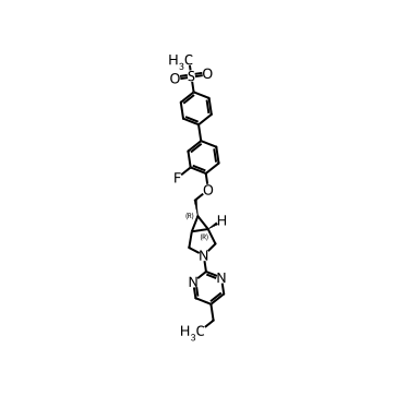 CCc1cnc(N2CC3[C@@H](COc4ccc(-c5ccc(S(C)(=O)=O)cc5)cc4F)[C@@H]3C2)nc1